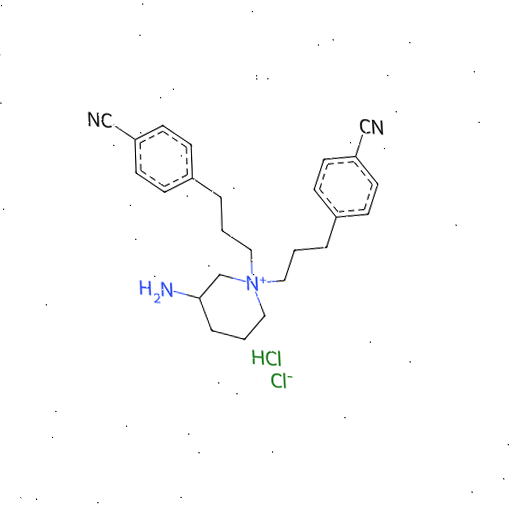 Cl.N#Cc1ccc(CCC[N+]2(CCCc3ccc(C#N)cc3)CCCC(N)C2)cc1.[Cl-]